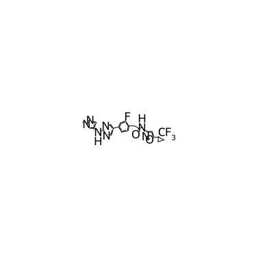 Cn1cc(Nc2ncc(-c3ccc(CC(=O)Nc4cc(C5(C(F)(F)F)CC5)on4)c(F)c3)cn2)cn1